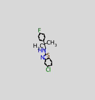 CC(C)(CNc1nc2cc(Cl)ccc2s1)c1ccc(F)cc1